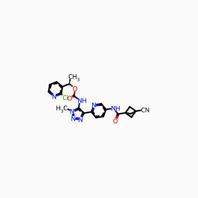 C[C@@H](OC(=O)Nc1c(-c2ccc(NC(=O)C34CC(C#N)(C3)C4)cn2)nnn1C)c1cccnc1Cl